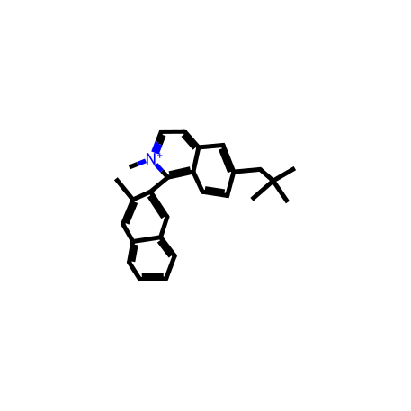 Cc1cc2ccccc2cc1-c1c2ccc(CC(C)(C)C)cc2cc[n+]1C